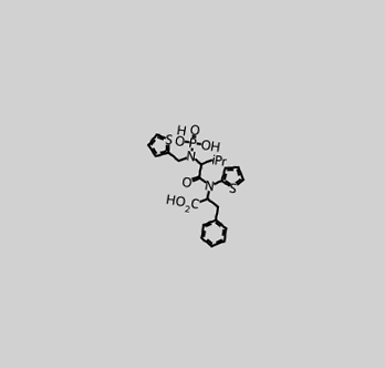 CC(C)C(C(=O)N(c1cccs1)C(Cc1ccccc1)C(=O)O)N(Cc1cccs1)P(=O)(O)O